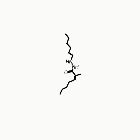 CCCCC=C(C)C(=O)NNCCCCCC